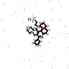 CCCN(C(=O)c1c(CN2CCOCC2)c(-c2ccccc2)nc2ccccc12)c1ccccc1